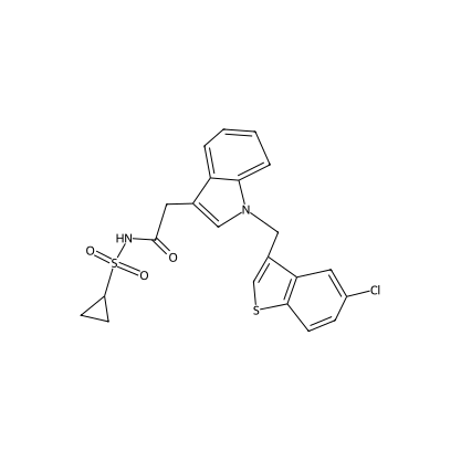 O=C(Cc1cn(Cc2csc3ccc(Cl)cc23)c2ccccc12)NS(=O)(=O)C1CC1